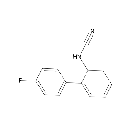 N#CNc1ccccc1-c1ccc(F)cc1